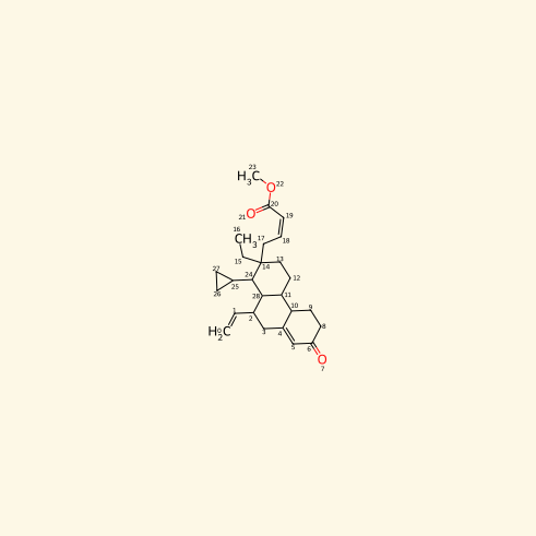 C=CC1CC2=CC(=O)CCC2C2CCC(CC)(C/C=C\C(=O)OC)C(C3CC3)C12